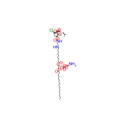 CCCCCCCCCCCCCCCCC(=O)OCC(COP(=O)(O)OCCN)OC(=O)CCCCCCCCNCCNC(=O)O[C@@H]1CC[C@](O)(CCl)[C@@H]([C@@]2(C)O[C@@H]2CC=C(C)C)[C@@H]1OC